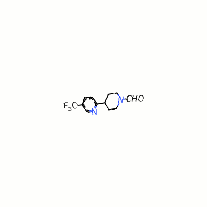 O=CN1CCC(c2ccc(C(F)(F)F)cn2)CC1